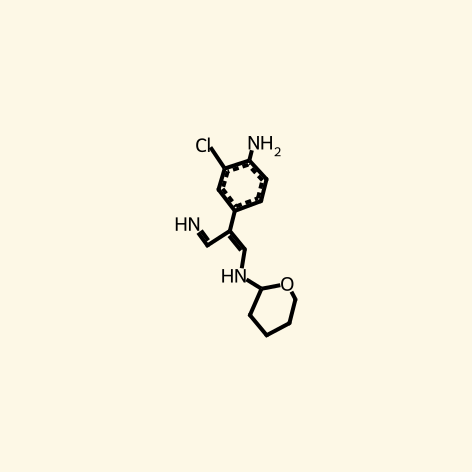 N=C/C(=C\NC1CCCCO1)c1ccc(N)c(Cl)c1